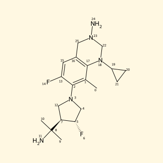 Cc1c(N2C[C@H](F)[C@@H](C(C)(C)N)C2)c(F)cc2c1N(C1CC1)CN(N)C2